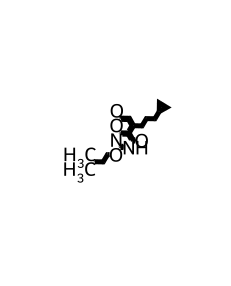 CC(C)CCOc1nc2oc(=O)cc(CCCC3CC3)c2c(=O)[nH]1